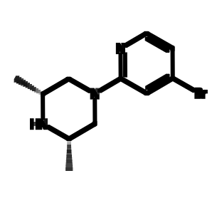 C[C@@H]1CN(c2cc(Br)ccn2)C[C@H](C)N1